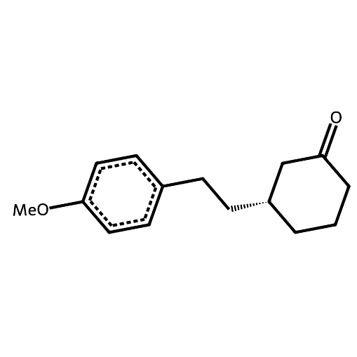 COc1ccc(CC[C@H]2CCCC(=O)C2)cc1